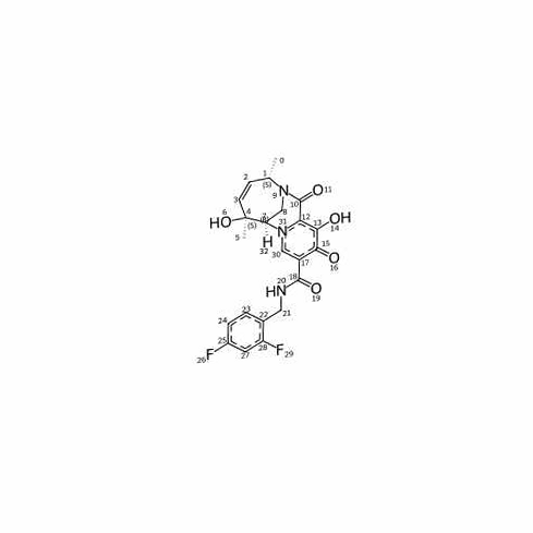 C[C@H]1C=C[C@](C)(O)[C@H]2CN1C(=O)c1c(O)c(=O)c(C(=O)NCc3ccc(F)cc3F)cn12